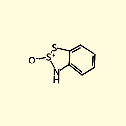 [O-][S+]1Nc2ccccc2S1